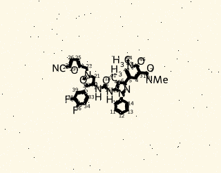 CNC(=O)c1cc(-c2nn(-c3ccccc3)c(NC(=O)N[C@@H]3CN(Cc4ccc(C#N)o4)O[C@H]3c3ccc(F)c(F)c3)c2C)cn(C)c1=O